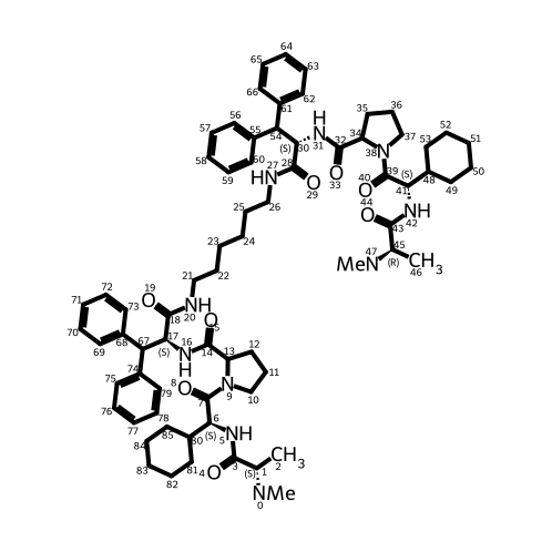 CN[C@@H](C)C(=O)N[C@H](C(=O)N1CCCC1C(=O)N[C@H](C(=O)NCCCCCCNC(=O)[C@@H](NC(=O)C1CCCN1C(=O)[C@@H](NC(=O)[C@@H](C)NC)C1CCCCC1)C(c1ccccc1)c1ccccc1)C(c1ccccc1)c1ccccc1)C1CCCCC1